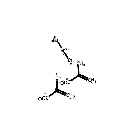 C=C(C)C(=O)[O-].C=C(C)C(=O)[O-].CCC[CH2][Sn+2][CH2]C